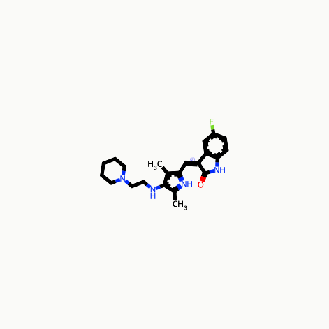 Cc1[nH]c(/C=C2\C(=O)Nc3ccc(F)cc32)c(C)c1NCCN1CCCCC1